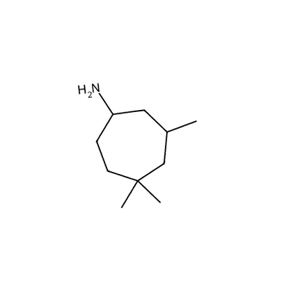 CC1CC(N)CCC(C)(C)C1